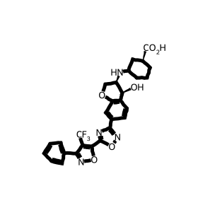 O=C(O)[C@H]1CCCC(N[C@@H]2COc3cc(-c4noc(-c5onc(-c6ccccc6)c5C(F)(F)F)n4)ccc3[C@@H]2O)C1